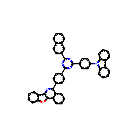 c1ccc2cc(-c3nc(-c4ccc(-c5nc6c7ccccc7oc6c6ccccc56)cc4)nc(-c4ccc(-n5c6ccccc6c6ccccc65)cc4)n3)ccc2c1